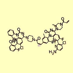 C=CC(=O)N1CCN(c2nc(=O)n(-c3c(C)cc(/C=C\C(=O)N4CCN(c5nc(=O)n(-c6ccccc6C(C)C)c6nc(-c7c(O)cccc7F)c(Cl)cc56)CC4)cc3C(C)C)c3nc(-c4nc(N)ccc4Cl)c(F)cc23)[C@@H](C)C1